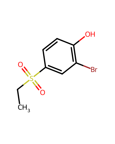 CCS(=O)(=O)c1ccc(O)c(Br)c1